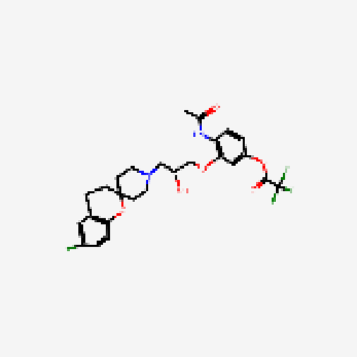 CC(=O)Nc1ccc(OC(=O)C(F)(F)F)cc1OC[C@@H](O)CN1CCC2(CCc3cc(Cl)ccc3O2)CC1